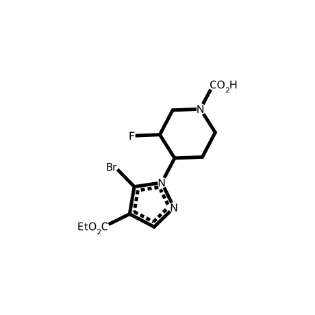 CCOC(=O)c1cnn(C2CCN(C(=O)O)CC2F)c1Br